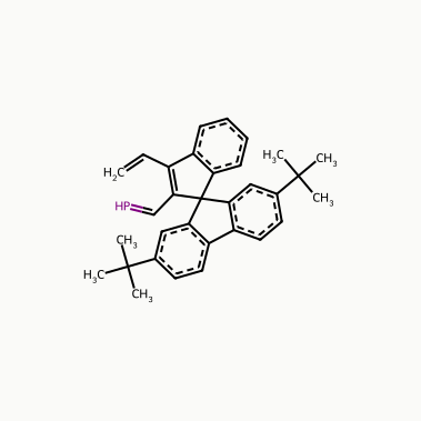 C=CC1=C(C=P)C2(c3ccccc31)c1cc(C(C)(C)C)ccc1-c1ccc(C(C)(C)C)cc12